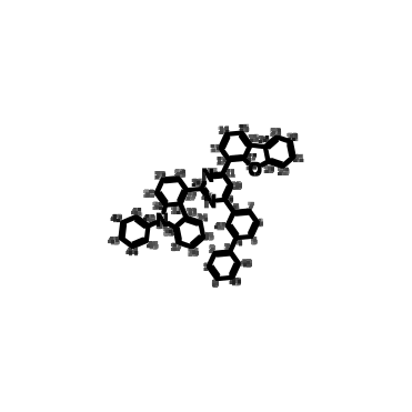 c1ccc(-c2cccc(-c3cc(-c4cccc5c4oc4ccccc45)nc(-c4cccc5c4c4ccccc4n5-c4ccccc4)n3)c2)cc1